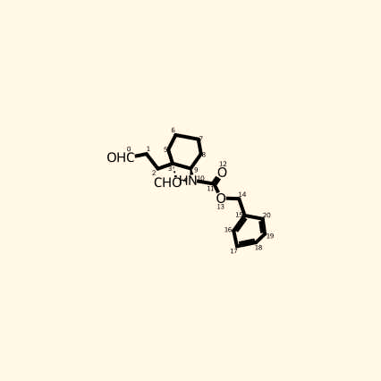 O=CCC[C@@]1(C=O)CCCC[C@H]1NC(=O)OCc1ccccc1